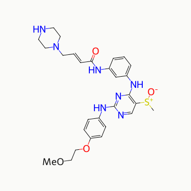 COCCOc1ccc(Nc2ncc([S+](C)[O-])c(Nc3cccc(NC(=O)/C=C/CN4CCNCC4)c3)n2)cc1